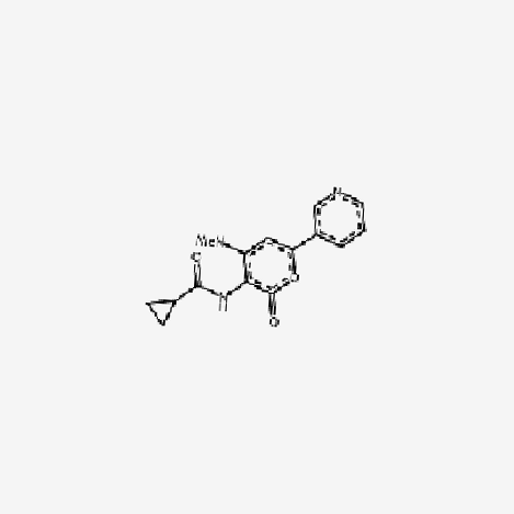 CNc1cc(-c2cccnc2)oc(=O)c1NC(=O)C1CC1